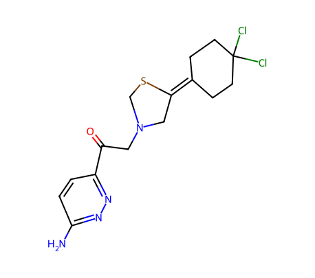 Nc1ccc(C(=O)CN2CSC(=C3CCC(Cl)(Cl)CC3)C2)nn1